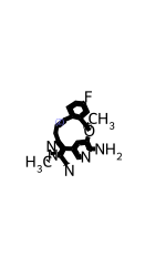 C[C@H]1Oc2cc(cnc2N)-c2c(nn(C)c2C#N)C/C=C\c2ccc(F)cc21